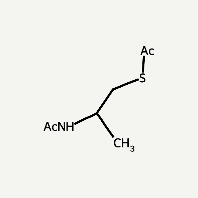 CC(=O)NC(C)CSC(C)=O